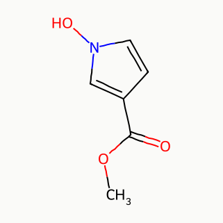 COC(=O)c1ccn(O)c1